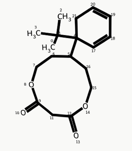 CC(C)(C)C1(C2CCOC(=O)CC(=O)OCC2)C=CC=CC1